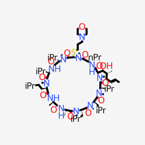 C/C=C/C[C@@H](C)[C@@H](O)[C@H]1C(=O)N[C@H](CCC)C(=O)N(C)[C@H](SCCCN2CCOCC2)C(=O)N(C)[C@@H](C(C)C)C(=O)N[C@H](C(C)C)C(=O)N(C)[C@H](CCC(C)C)C(=O)N[C@H](C)C(=O)N[C@@H](C)C(=O)N(C)[C@@H](CC(C)C)C(=O)N(C)[C@H](CC(C)C)C(=O)N(C)[C@H](C(C)C)C(=O)N1C